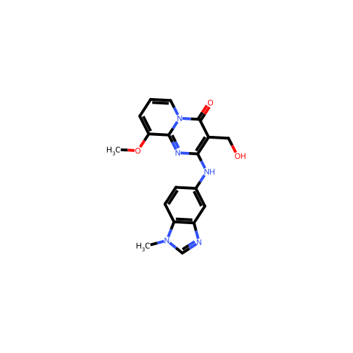 COc1cccn2c(=O)c(CO)c(Nc3ccc4c(c3)ncn4C)nc12